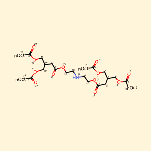 CCCCCCCCC(=O)OCC(COC(=O)CCCCCCCC)CC(=O)OCCNCCOC(=O)CC(COC(=O)CCCCCCCC)COC(=O)CCCCCCCC